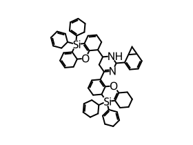 C1=CCCC([Si]2(C3C=CC=CC3)C3=CC=CCC3OC3=C2C=CCC3C2CC(C3=C4OC5=C(CCCC5)[Si](C5=CCCC=C5)(C5CC=CCC5)C4CC=C3)=NC(C3=CC=CC4CC34)N2)=C1